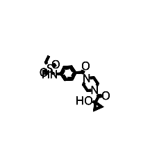 CCS(=O)(=O)Nc1ccc(C(=O)N2CCN(C(=O)C3(O)CC3)CC2)cc1